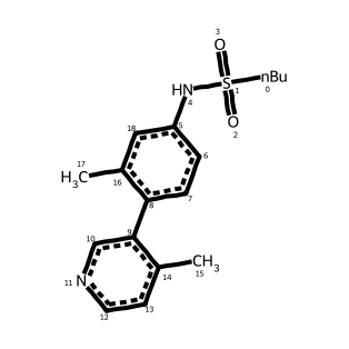 CCCCS(=O)(=O)Nc1ccc(-c2cnccc2C)c(C)c1